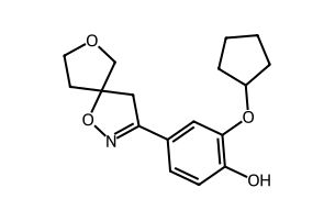 Oc1ccc(C2=NOC3(CCOC3)C2)cc1OC1CCCC1